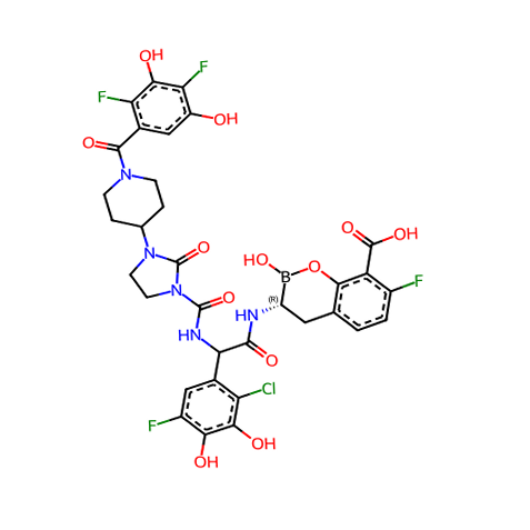 O=C(O)c1c(F)ccc2c1OB(O)[C@@H](NC(=O)C(NC(=O)N1CCN(C3CCN(C(=O)c4cc(O)c(F)c(O)c4F)CC3)C1=O)c1cc(F)c(O)c(O)c1Cl)C2